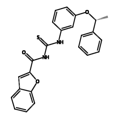 C[C@@H](Oc1cccc(NC(=S)NC(=O)c2cc3ccccc3o2)c1)c1ccccc1